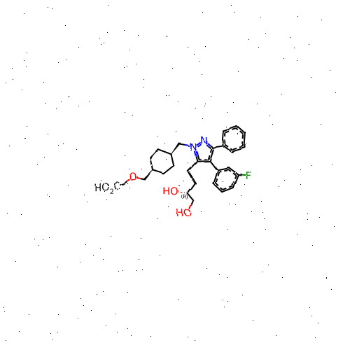 O=C(O)COC[C@H]1CC[C@@H](Cn2nc(-c3ccccc3)c(-c3cccc(F)c3)c2CC[C@@H](O)CO)CC1